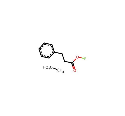 CC(=O)O.O=C(CCc1ccccc1)OF